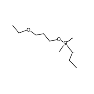 CC[CH][Si](C)(C)OCCCOCC